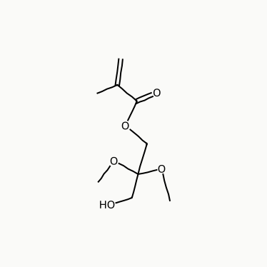 C=C(C)C(=O)OCC(CO)(OC)OC